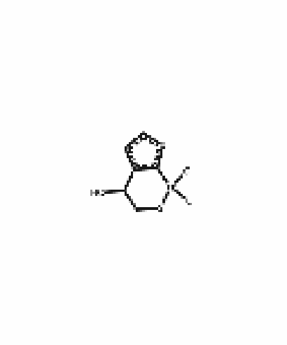 [O-][N+]1([O-])SCC(O)c2ccsc21